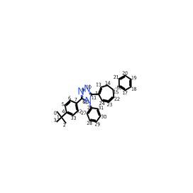 CC(C)(C)c1ccc(-c2nnc(C3=CC[C@H](c4ccccc4)C=C=C3)n2-c2ccccc2)cc1